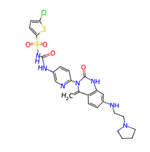 C=C1c2ccc(NCCN3CCCC3)cc2NC(=O)N1c1ccc(NC(=O)NS(=O)(=O)c2ccc(Cl)s2)cn1